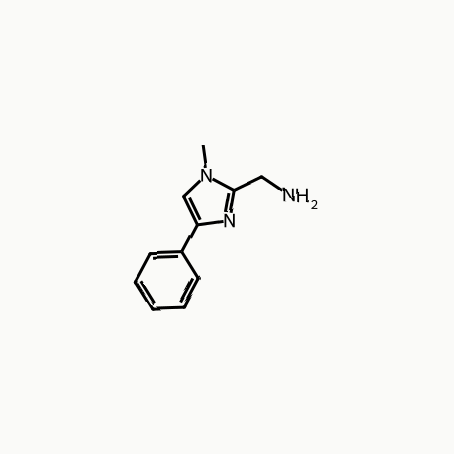 Cn1cc(-c2ccccc2)nc1CN